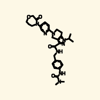 CC(C)n1nc(C(=O)NCc2ccc(NC(=O)N(C)C)cc2)c2c1CCN(c1ccc(N3CCCOCC3=O)cn1)C2